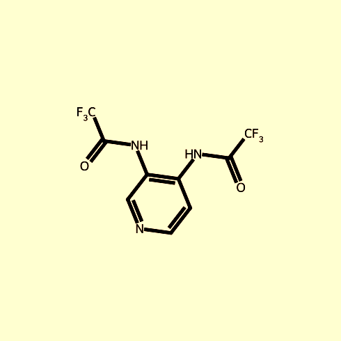 O=C(Nc1ccncc1NC(=O)C(F)(F)F)C(F)(F)F